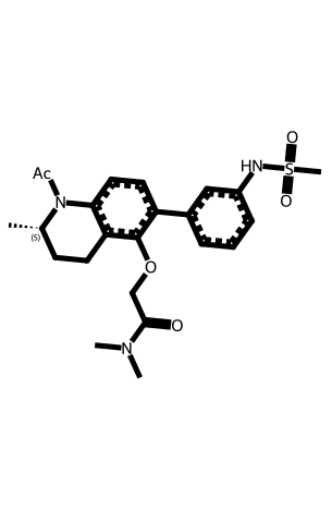 CC(=O)N1c2ccc(-c3cccc(NS(C)(=O)=O)c3)c(OCC(=O)N(C)C)c2CC[C@@H]1C